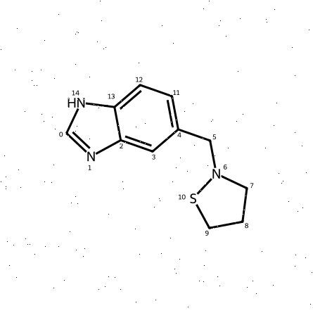 c1nc2cc(CN3CCCS3)ccc2[nH]1